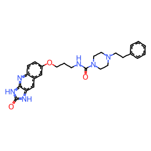 O=C(NCCCOc1ccc2nc3[nH]c(=O)[nH]c3cc2c1)N1CCN(CCc2ccccc2)CC1